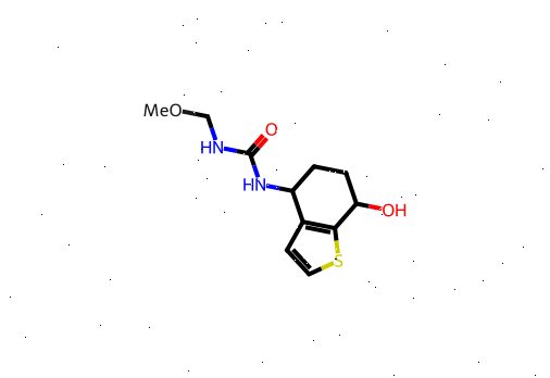 COCNC(=O)NC1CCC(O)c2sccc21